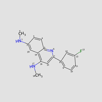 CNc1ccc2nc(-c3cccc(F)c3)cc(NC)c2c1